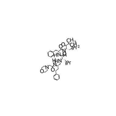 C=C(C)C(=O)[C@H](CC(C)C)NC(=O)[C@H](Cc1ccccc1)NC(=O)[C@H](CC(C)C)NC[C@@H](CCc1ccccc1)NC(=O)CN1CCOCC1